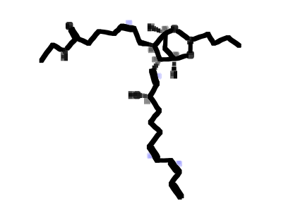 C=C/C=C\C=C/CCC[C@H](O)/C=C/[C@@H]1[C@@H](C/C=C\CCCC(=O)NCC)[C@@H]2C[C@H]1OB(CCCC)O2